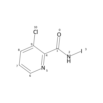 O=C(NI)c1ncccc1Cl